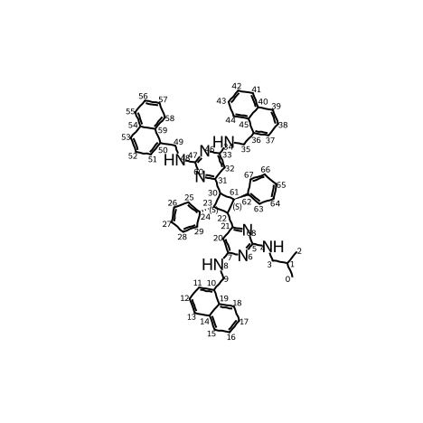 CC(C)CNc1nc(NCc2cccc3ccccc23)cc(C2[C@H](c3ccccc3)C(c3cc(NCc4cccc5ccccc45)nc(NCc4cccc5ccccc45)n3)[C@H]2c2ccccc2)n1